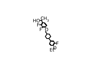 CCOc1ccc(C2CCC(COc3ccc(C(C)O)c(F)c3F)CC2)cc1F